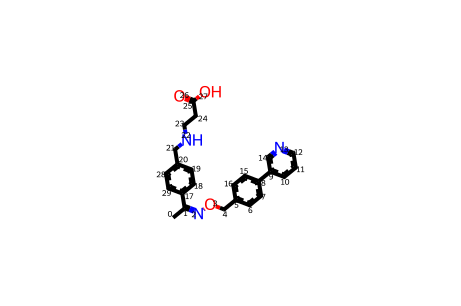 CC(=NOCc1ccc(-c2cccnc2)cc1)c1ccc(CNCCC(=O)O)cc1